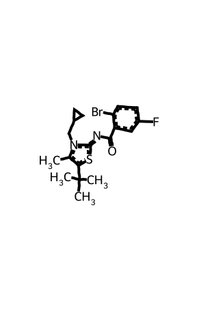 Cc1c(C(C)(C)C)s/c(=N\C(=O)c2cc(F)ccc2Br)n1CC1CC1